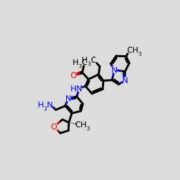 CCc1c(-c2cnc3cc(C)ccn23)ccc(Nc2ccc([C@@]3(C)CCOC3)c(CN)n2)c1C(C)=O